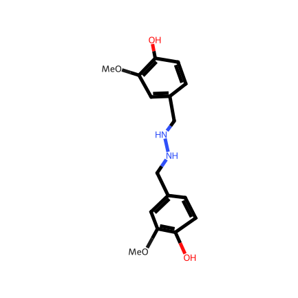 COc1cc(CNNCc2ccc(O)c(OC)c2)ccc1O